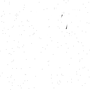 C[C@@H](O)[C@H]1C(=O)N2C(C(=O)OCc3ccc([N+](=O)[O-])cc3)=C(c3cn4c([S+](C)[O-])ncc4s3)[C@H](C)[C@H]12